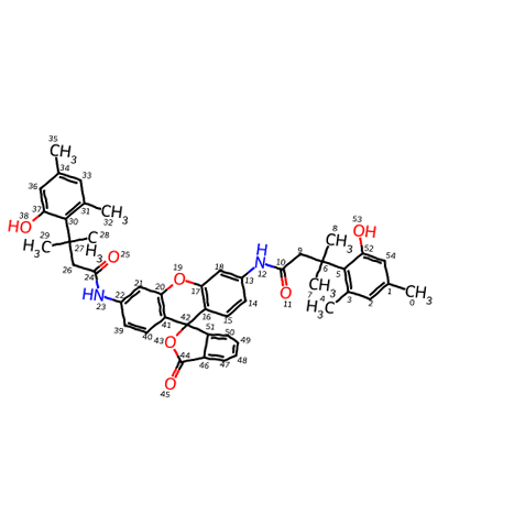 Cc1cc(C)c(C(C)(C)CC(=O)Nc2ccc3c(c2)Oc2cc(NC(=O)CC(C)(C)c4c(C)cc(C)cc4O)ccc2C32OC(=O)c3ccccc32)c(O)c1